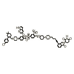 CC1(C)CCC(CN2CCN(c3ccc(C(=O)NS(=O)(=O)c4ccc(NC[C@H]5CC[C@H](N6CCN(CCCC#Cc7cccc8c7CN(C7CCC(=O)NC7=O)C8=O)CC6)CC5)c([N+](=O)[O-])c4)c(Oc4cnc5[nH]ccc5c4)c3)CC2)=C(c2ccc(Cl)cc2)C1